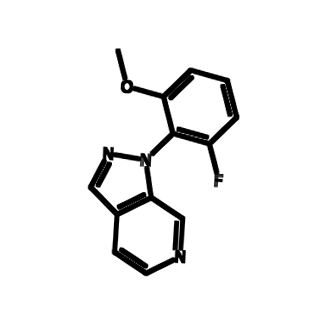 COc1cccc(F)c1-n1ncc2ccncc21